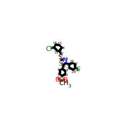 CS(=O)(=O)c1ccc(-c2sc(SCc3cccc(Cl)c3)nc2-c2ccc(F)cc2)cc1